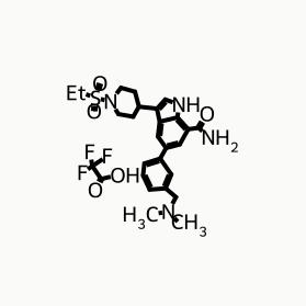 CCS(=O)(=O)N1CCC(c2c[nH]c3c(C(N)=O)cc(-c4cccc(CN(C)C)c4)cc23)CC1.O=C(O)C(F)(F)F